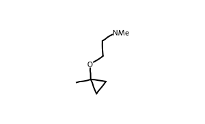 CNCCOC1(C)CC1